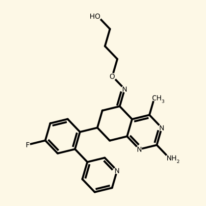 Cc1nc(N)nc2c1/C(=N/OCCCO)CC(c1ccc(F)cc1-c1cccnc1)C2